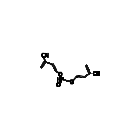 C=C(C#N)C=CO[PH](=O)OC=CC(=C)C#N